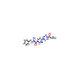 CCCCC(=O)N1CCN(c2ccc(C(=O)NCCc3ccccc3)cn2)CC1